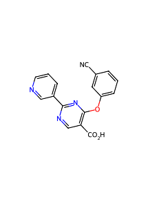 N#Cc1cccc(Oc2nc(-c3cccnc3)ncc2C(=O)O)c1